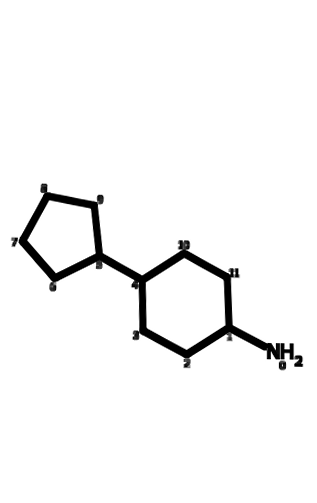 NC1CCC(C2CCCC2)CC1